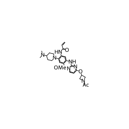 C=CC(=O)Nc1cc(Nc2nccc(OC3CN(C(C)=O)C3)n2)c(OC)cc1N1CCC(N(C)C)CC1